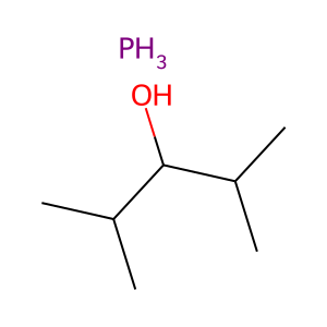 CC(C)C(O)C(C)C.P